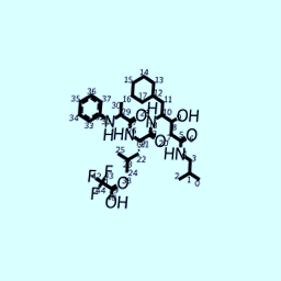 CC(C)CNC(=O)CC(O)C(CC1CCCCC1)NC(=O)[C@H](CC(C)C)NC(=O)C(C)Nc1ccccc1.O=C(O)C(F)(F)F